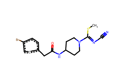 CSC(=NC#N)N1CCC(NC(=O)Cc2ccc(Br)cc2)CC1